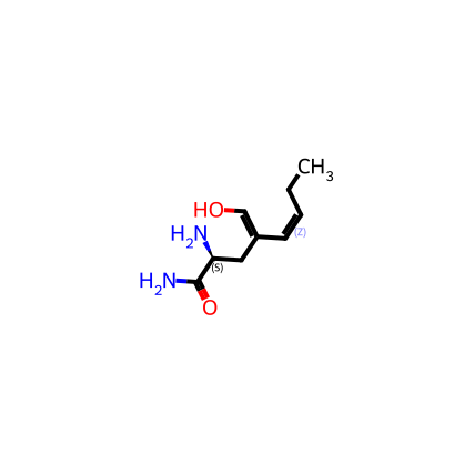 CC/C=C\C(=CO)C[C@H](N)C(N)=O